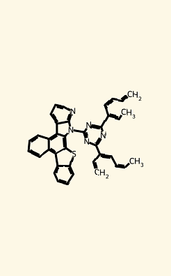 C=C/C=C\C(=C/C)c1nc(/C(C=C)=C/C=C\C)nc(-n2c3ncccc3c3c4ccccc4c4c5ccccc5sc4c32)n1